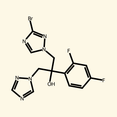 OC(Cn1cncn1)(Cn1cnc(Br)n1)c1ccc(F)cc1F